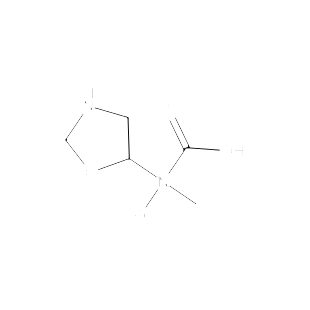 C[N+]([O-])(C(=O)O)C1CNCO1